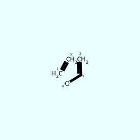 C=C.C=C[O]